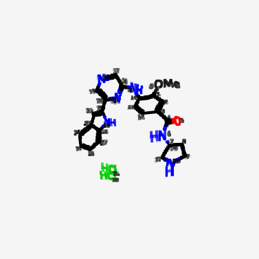 COc1cc(C(=O)N[C@@H]2CCNC2)ccc1Nc1cncc(-c2cc3ccccc3[nH]2)n1.Cl.Cl